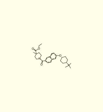 CCOC(=O)C1(C)CCN(C(=O)c2ccc3cc(O[C@H]4CC[C@H](C(C)(C)C)CC4)ccc3c2)CC1